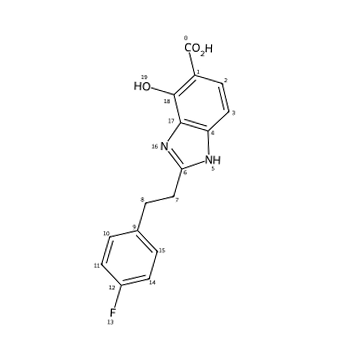 O=C(O)c1ccc2[nH]c(CCc3ccc(F)cc3)nc2c1O